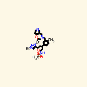 CC[C@@H]1CN(Cc2cc(C(CCc3cn(CC)nn3)CC(=O)NS(C)(=O)=O)ccc2C)Cc2cnccc2O1